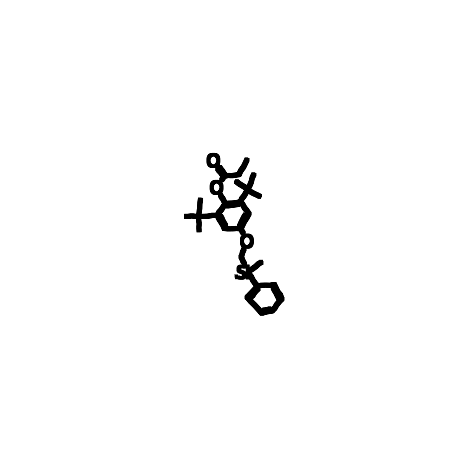 CCC(=O)Oc1c(C(C)(C)C)cc(OC[Si](C)(C)c2ccccc2)cc1C(C)(C)C